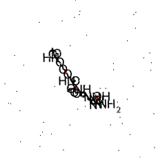 CC(C)(C)OC(=O)NCCOCCOCCOCCNC(=O)CC[C@H](NC(=O)c1ccc(NCc2cnc3nc(N)nc(O)c3n2)cc1)C(=O)OC(C)(C)C